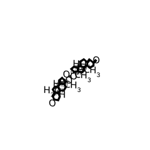 C[C@]12CC[C@H]3[C@@H](CCC4=CC(=O)CC[C@@]43C)[C@@H]1CC[C@@H]2OC(=O)O[C@H]1CC[C@H]2[C@@H]3CCC4=CC(=O)CC[C@]4(C)[C@H]3CC[C@]12C